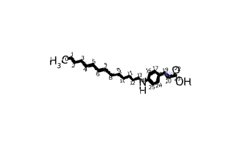 CCCCCCCCCCCCCCNc1ccc(/C=C/C(=O)O)cc1